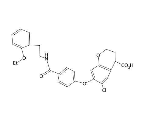 CCOc1ccccc1CCNC(=O)c1ccc(Oc2cc3c(cc2Cl)C(C(=O)O)CCO3)cc1